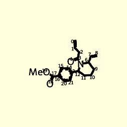 C=CCC(=O)N1C(C=C)CCCC1c1ccc(C(=O)OC)cc1